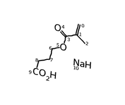 C=C(C)C(=O)OCCCC(=O)O.[NaH]